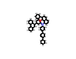 c1ccc(-c2ccc(-c3ccc(N(c4cccc(-c5cc6ccccc6c6ccccc56)c4)c4cccc5ccc6c7ccccc7oc6c45)cc3)cc2)cc1